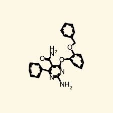 NC(=O)c1c(Oc2ccccc2OCc2ccccc2)nc(N)nc1-c1ccccc1